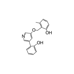 Cc1cccc(O)c1COc1cncc(-c2ccccc2O)c1